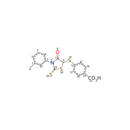 Cc1cccc(N2C(=O)C(Sc3ccc(C(=O)O)cc3)SC2=S)c1